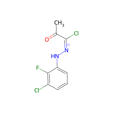 CC(=O)/C(Cl)=N\Nc1cccc(Cl)c1F